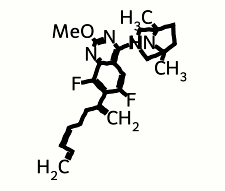 C=C/C=C\CCC(=C)c1c(F)cc2c(N3CC4(C)CCC(C)(C3)N4)nc(OC)nc2c1F